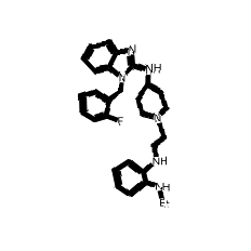 CCNc1ccccc1NCCN1CCC(Nc2nc3ccccc3n2Cc2ccccc2F)CC1